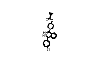 N=C(C1=CC=C(Cl)C=CC1)c1ccccc1C(=N)N1CCC(OC(=O)C2CC2)CC1